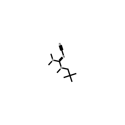 CN(C)/C(=N\C#N)N(C)CC(C)(C)C